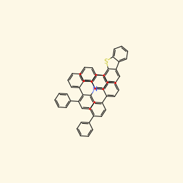 c1ccc(-c2ccc(-c3ccccc3N(c3ccccc3-c3cccc4c3sc3ccccc34)c3cccc(-c4ccccc4)c3-c3ccccc3-c3ccccc3)cc2)cc1